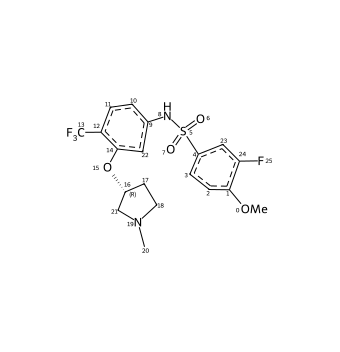 COc1ccc(S(=O)(=O)Nc2ccc(C(F)(F)F)c(O[C@@H]3CCN(C)C3)c2)cc1F